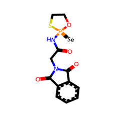 O=C(CN1C(=O)c2ccccc2C1=O)NP1(=[Se])OCCS1